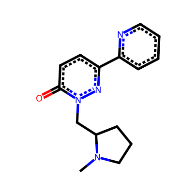 CN1CCCC1Cn1nc(-c2ccccn2)ccc1=O